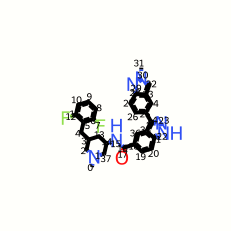 CN1CC(Cc2c(F)cccc2F)CC(NC(=O)c2ccc3[nH]nc(-c4ccc5nn(C)cc5c4)c3c2)C1